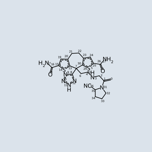 C=C(CN[C@@H](C)CC1(c2nn[nH]n2)c2sc(C(N)=O)cc2CCc2cc(C(N)=O)sc21)N1CCCC1C#N